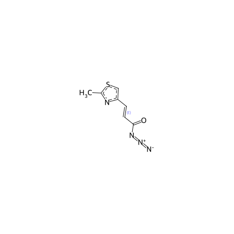 Cc1nc(/C=C/C(=O)N=[N+]=[N-])cs1